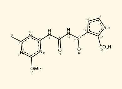 COc1nc(C)nc(NC(=O)N[S+]([O-])c2ccsc2C(=O)O)n1